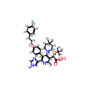 Cc1nc(-c2cn(C)cn2)c(-c2ccc(OCCc3ccc(F)cc3)cc2)c(N2CCC(C)(C)CC2)c1[C@H](OC(C)(C)C)C(=O)O